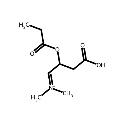 CCC(=O)OC(C=[N+](C)C)CC(=O)O